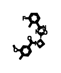 COc1cc(C(=O)N2CC[C@H]2c2nc(-c3cccc(F)c3C)no2)ccc1C